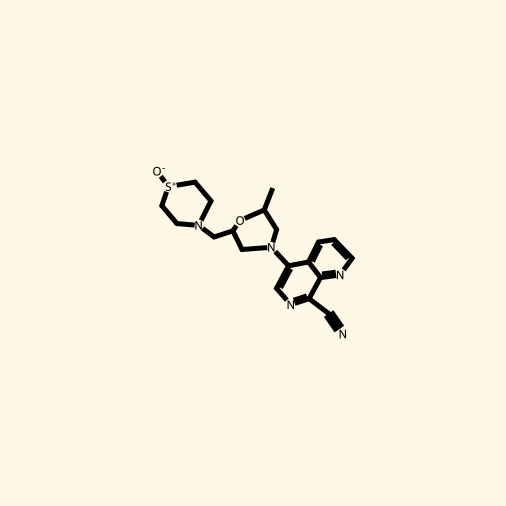 CC1CN(c2cnc(C#N)c3ncccc23)CC(CN2CC[S+]([O-])CC2)O1